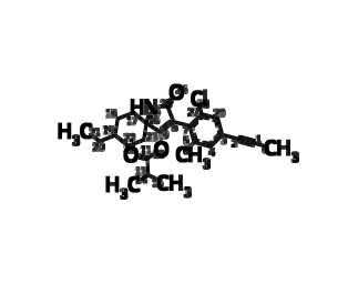 CC#Cc1cc(C)c(C2=C(OC(=O)C(C)C)C3(CCC(CC)CC3)NC2=O)c(Cl)c1